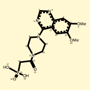 COc1cc2ncnc(N3CCN(C(=O)CP(=O)(O)O)CC3)c2cc1OC